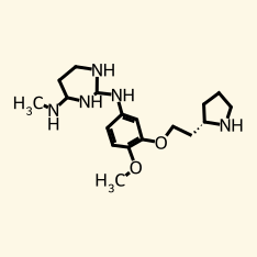 CNC1CCNC(Nc2ccc(OC)c(OCC[C@@H]3CCCN3)c2)N1